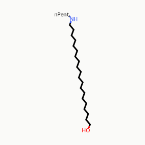 CCCCCNCCCCCCCCCCCCCCCCCCCCO